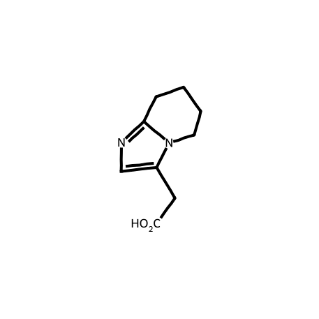 O=C(O)Cc1cnc2n1CCCC2